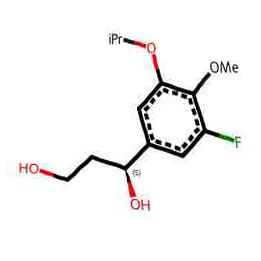 COc1c(F)cc([C@@H](O)CCO)cc1OC(C)C